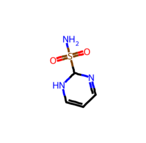 NS(=O)(=O)C1N=CC=CN1